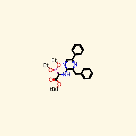 CCOP(OCC)C(Nc1ncc(-c2ccccc2)nc1Cc1ccccc1)C(=O)OC(C)(C)C